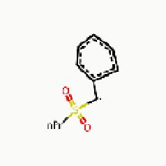 CCCS(=O)(=O)[CH]c1ccccc1